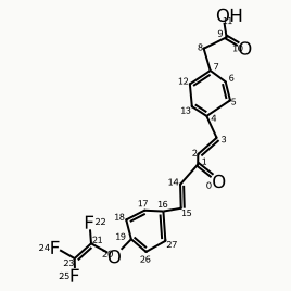 O=C(C=Cc1ccc(CC(=O)O)cc1)C=Cc1ccc(OC(F)=C(F)F)cc1